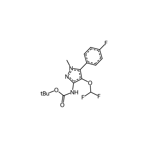 Cn1nc(NC(=O)OC(C)(C)C)c(OC(F)F)c1-c1ccc(F)cc1